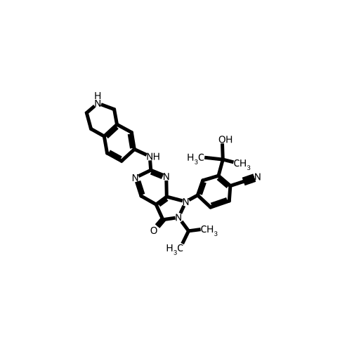 CC(C)n1c(=O)c2cnc(Nc3ccc4c(c3)CNCC4)nc2n1-c1ccc(C#N)c(C(C)(C)O)c1